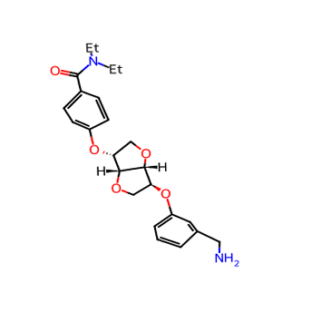 CCN(CC)C(=O)c1ccc(O[C@@H]2CO[C@H]3[C@@H]2OC[C@@H]3Oc2cccc(CN)c2)cc1